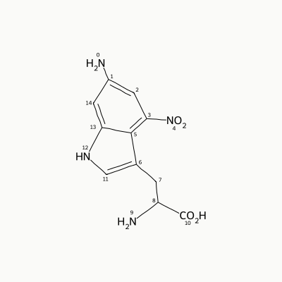 Nc1cc([N+](=O)[O-])c2c(CC(N)C(=O)O)c[nH]c2c1